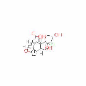 CC(=O)O.C[C@]12CC[C@H]3[C@@H](CC[C@@]4(Cl)C[C@@H](O)CC[C@]34CO)[C@@H]1CCC2=O